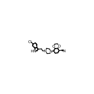 N#Cc1ccc(N2CCN(CCc3c[nH]c4cc(Cl)ccc34)CC2)c2c1OCCO2